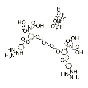 N=C(N)Nc1ccc(C(=O)Oc2cc(OCCOCCOCCOc3cc(OC(=O)c4ccc(NC(=N)N)cc4)cc(C(=O)N(CC(=O)O)CC(=O)O)c3)cc(C(=O)N(CC(=O)O)CC(=O)O)c2)cc1.O=C(O)C(F)(F)F.O=C(O)C(F)(F)F